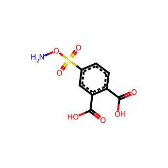 NOS(=O)(=O)c1ccc(C(=O)O)c(C(=O)O)c1